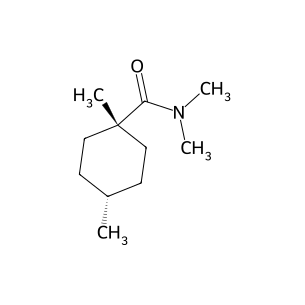 CN(C)C(=O)[C@]1(C)CC[C@H](C)CC1